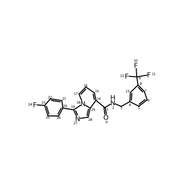 O=C(NCc1cccc(C(F)(F)F)c1)c1cccn2c(-c3ccc(F)cc3)ncc12